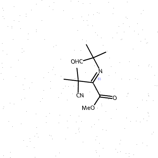 COC(=O)/C(=N/C(C)(C)C=O)C(C)(C)C#N